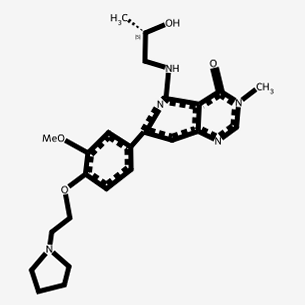 COc1cc(-c2cc3ncn(C)c(=O)c3c(NC[C@H](C)O)n2)ccc1OCCN1CCCC1